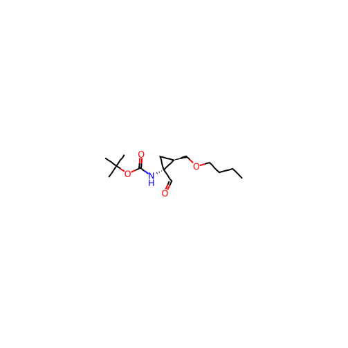 CCCCOC[C@@H]1C[C@@]1(C=O)NC(=O)OC(C)(C)C